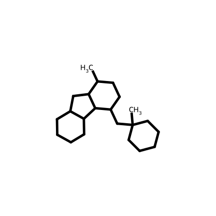 CC1CCC(CC2(C)CCCCC2)C2C1CC1CCCCC12